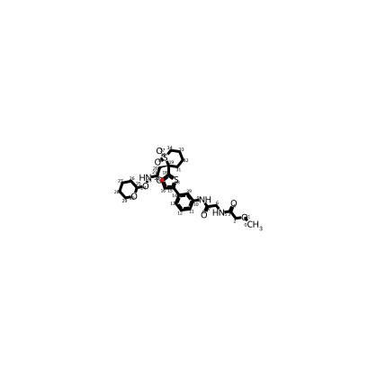 COCC(=O)NCC(=O)Nc1cccc(-c2ccc([C@@]3(CC(=O)NOC4CCCCO4)CCCCS3(=O)=O)s2)c1